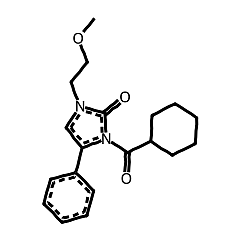 COCCn1cc(-c2ccccc2)n(C(=O)C2CCCCC2)c1=O